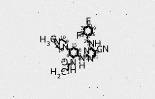 C=CC(=O)Nc1cc(N2CCN(C)CC2)ccc1Nc1ncc(C#N)c(NCc2ccc(F)cc2F)n1